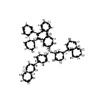 c1ccc(-c2c(-c3ccccc3)c3cc(N(c4ccc(-c5ccc6ccccc6c5)cc4)c4cccc(-c5cccc6ccccc56)c4)ccc3c3ccccc23)cc1